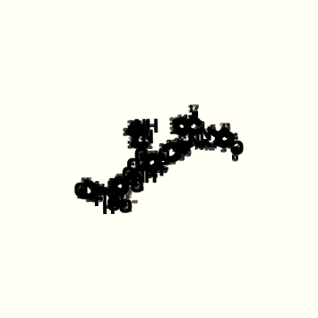 COc1ccc(CN2C[C@@H](c3ccccc3C(C)C)N(C3CC4(CCN(c5cc(Oc6cnc7[nH]ccc7c6)c(C(=O)NS(=O)(=O)c6ccc(NCC7(F)CCOCC7)c([N+](=O)[O-])c6)cc5F)CC4)C3)C[C@@H]2C)cc1